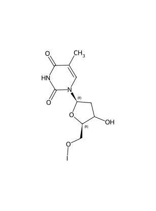 Cc1cn([C@H]2CC(O)[C@@H](COI)O2)c(=O)[nH]c1=O